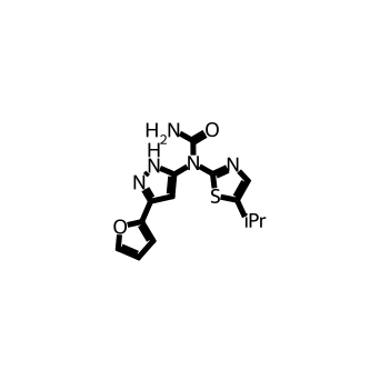 CC(C)c1cnc(N(C(N)=O)c2cc(-c3ccco3)n[nH]2)s1